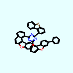 c1ccc(-c2ccc3c(c2)oc2cccc(-c4nc(-c5cccc6sc7ccccc7c56)nc(-c5cccc6ccc7oc8ccccc8c7c56)n4)c23)cc1